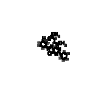 CN(C)CCN(C)c1nc(-c2ccccc2)nc(Cl)c1/N=N/c1ccccc1